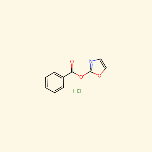 Cl.O=C(Oc1ncco1)c1ccccc1